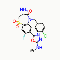 CC(C)Nc1nnc(-c2cc3c(cc2F)S(=O)(=O)C[C@H](N)C(=O)N3Cc2ccc(Cl)cc2)o1